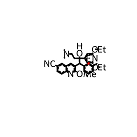 CCOc1cc(C(O)(CCN(C)C)C(c2cc3cc(C#N)ccc3nc2OC)c2cccc(C)c2F)cc(OCC)n1